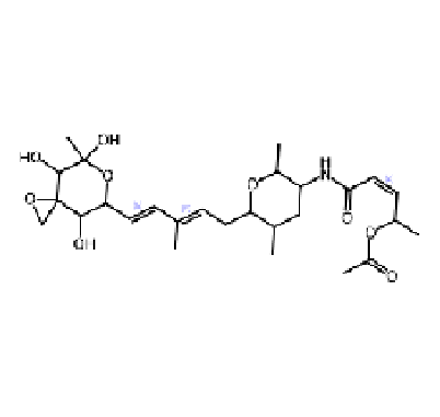 CC(=O)OC(C)/C=C\C(=O)NC1CC(C)C(C/C=C(C)/C=C/C2OC(C)(O)C(O)C3(CO3)C2O)OC1C